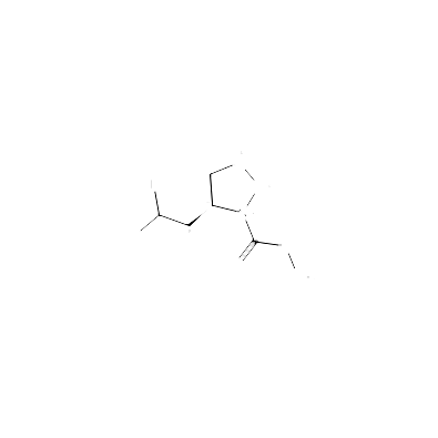 CC(C)(C)OC(=O)N1SOC[C@@H]1CC(F)F